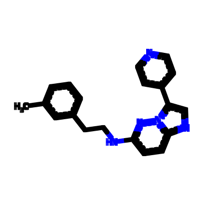 Cc1cccc(CCNc2ccc3ncc(-c4ccncc4)n3n2)c1